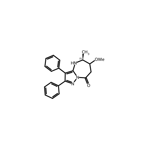 COC1CC(=O)n2nc(-c3ccccc3)c(-c3ccccc3)c2N[C@H]1C